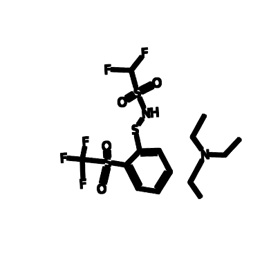 CCN(CC)CC.O=S(=O)(NSc1ccccc1S(=O)(=O)C(F)(F)F)C(F)F